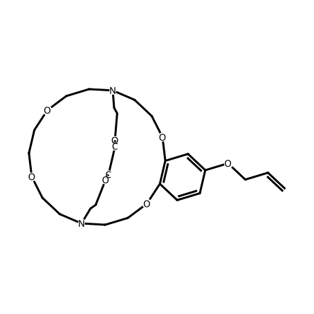 C=CCOc1ccc2c(c1)OCCN1CCOCCOCCN(CCOCCOCC1)CCO2